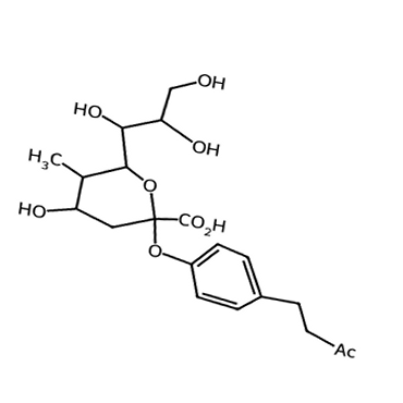 CC(=O)CCc1ccc(OC2(C(=O)O)CC(O)C(C)C(C(O)C(O)CO)O2)cc1